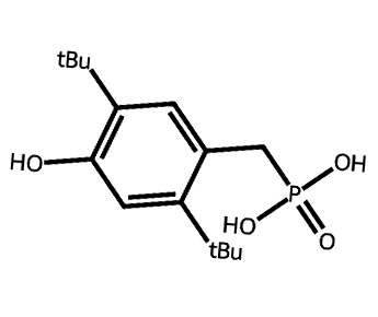 CC(C)(C)c1cc(CP(=O)(O)O)c(C(C)(C)C)cc1O